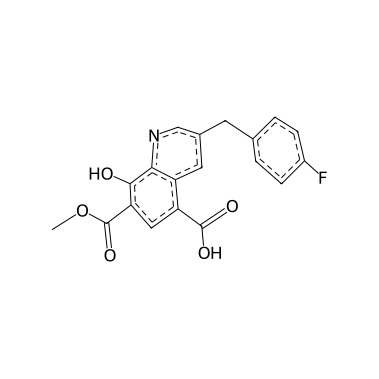 COC(=O)c1cc(C(=O)O)c2cc(Cc3ccc(F)cc3)cnc2c1O